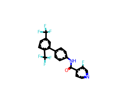 O=C(Nc1ccc(-c2cc(C(F)(F)F)ccc2C(F)(F)F)cc1)c1ccncc1F